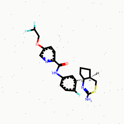 NC1=N[C@@]2(c3cc(NC(=O)c4ccc(OCC(F)F)cn4)ccc3F)CCC[C@H]2CS1